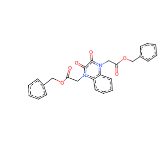 O=C(Cn1c(=O)c(=O)n(CC(=O)OCc2ccccc2)c2ccccc21)OCc1ccccc1